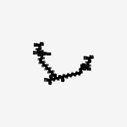 CCCCCCC(C/C=C\CCCCCCCC(=O)OCC(COC(=O)CC)OC(=O)CCCCCCC/C=C\CC(CCCCCC)OC(CC)(CC)COC(CC)CC)OC(CC)(CC)CCOC(CC)CC